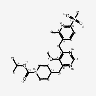 COc1c(Cc2ccc(S(C)(=O)=O)nc2C)ncnc1CC1CCN(C(=O)OC(C)C)CC1